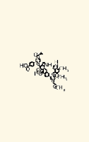 COCCN1CCN(Cc2c(OC)cc(C)c3[nH]ccc23)[C@H](c2ccc(C(=O)O)c(Cc3cc(OC)c(CN4CCN(C(=O)C5CC5)C[C@H]4c4ccc(C(=O)O)cc4)c4cc[nH]c34)c2)C1